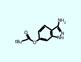 CC(C)(C)C(=O)Oc1ccc2c(N)n[nH]c2c1